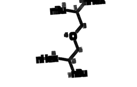 CCCCCCC(CCCC)COCC(CCCC)CCCCCC